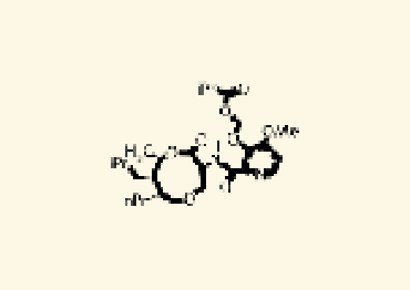 CCC[C@H]1COC[C@H](NC(=O)c2nccc(OC)c2OCOC(=O)C(C)C)C(=O)O[C@@H](C)[C@@H]1CC(C)C